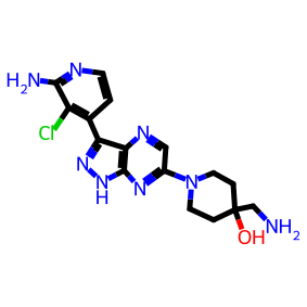 NCC1(O)CCN(c2cnc3c(-c4ccnc(N)c4Cl)n[nH]c3n2)CC1